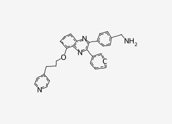 NCc1ccc(-c2nc3cccc(OCCCc4ccncc4)c3nc2-c2ccccc2)cc1